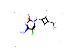 Nc1nc(=O)n(C[C@H]2C[C@H](CO)C2)cc1F